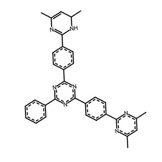 CC1=CC(C)NC(c2ccc(-c3nc(-c4ccccc4)nc(-c4ccc(-c5nc(C)cc(C)n5)cc4)n3)cc2)=N1